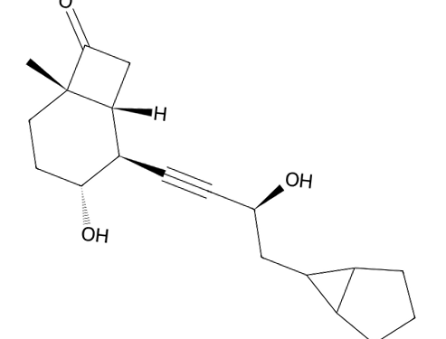 C[C@]12CC[C@@H](O)[C@H](C#C[C@@H](O)CC3C4CCCC43)[C@H]1CC2=O